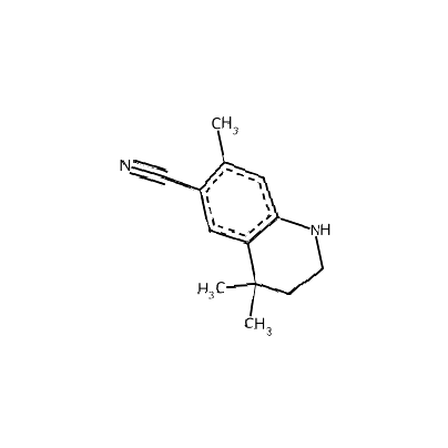 Cc1cc2c(cc1C#N)C(C)(C)CCN2